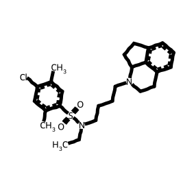 CCN(CCCCN1CCc2cccc3c2C1CC3)S(=O)(=O)c1cc(C)c(Cl)cc1C